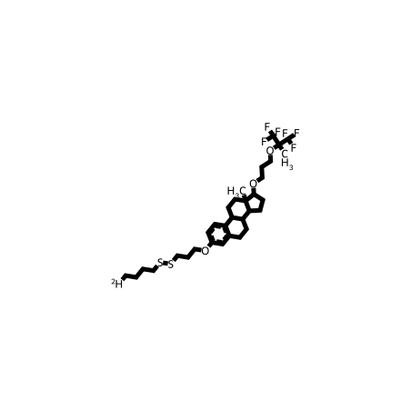 [2H]CCCCSSCCCOc1ccc2c(c1)CCC1C2CCC2(C)C(OCCCOC(C)(C(F)(F)F)C(F)(F)F)CCC12